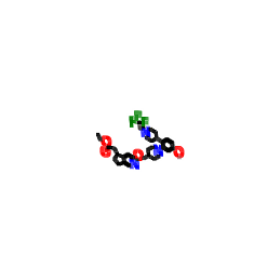 CCOC(=O)CC1CCc2cnc(OCC3CCN(c4cc(OC)ccc4C4CCN(CC(F)(F)F)CC4)CC3)cc21